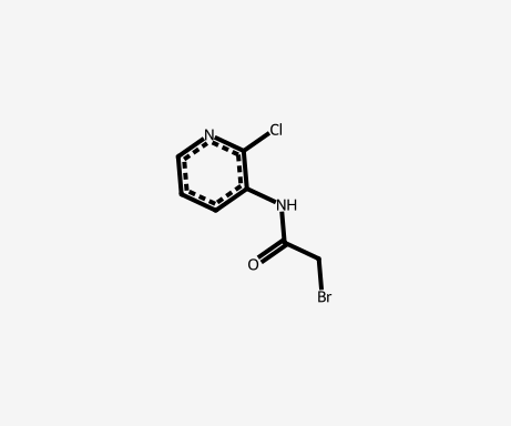 O=C(CBr)Nc1cccnc1Cl